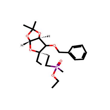 CCOP(C)(=O)CC[C@]1(CC)O[C@@H]2OC(C)(C)O[C@H]2C1OCc1ccccc1